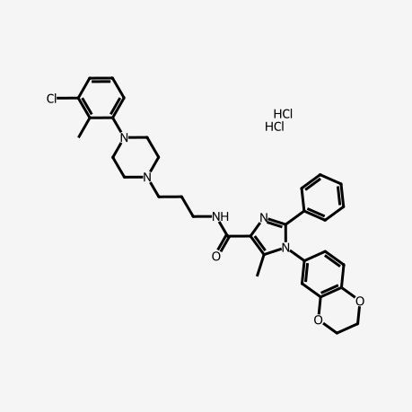 Cc1c(Cl)cccc1N1CCN(CCCNC(=O)c2nc(-c3ccccc3)n(-c3ccc4c(c3)OCCO4)c2C)CC1.Cl.Cl